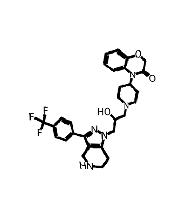 O=C1COc2ccccc2N1C1CCN(CC(O)Cn2nc(-c3ccc(C(F)(F)F)cc3)c3c2CCNC3)CC1